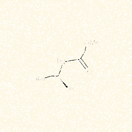 COC(=O)N[C@@H](C(C)C)C(C)(C)C